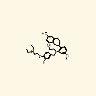 CCN(CC)CCOc1ccc(CN(CCO)c2cc(OC)ccc2C2CCc3cc(O)ccc3C2)cc1F